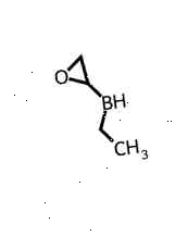 CCBC1CO1